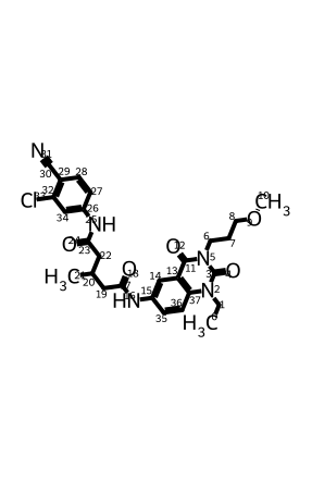 CCn1c(=O)n(CCCOC)c(=O)c2cc(NC(=O)CC(C)CC(=O)Nc3ccc(C#N)c(Cl)c3)ccc21